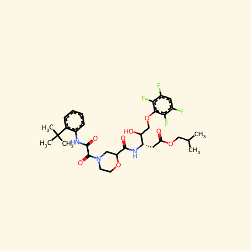 CC(C)COC(=O)C[C@H](NC(=O)C1CN(C(=O)C(=O)Nc2ccccc2C(C)(C)C)CCO1)C(O)COc1c(F)c(F)cc(F)c1F